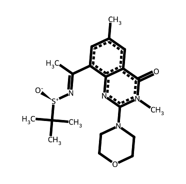 CC(=N[S@+]([O-])C(C)(C)C)c1cc(C)cc2c(=O)n(C)c(N3CCOCC3)nc12